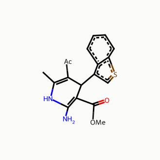 COC(=O)C1=C(N)NC(C)=C(C(C)=O)C1c1csc2ccccc12